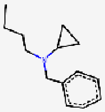 CCCCN(Cc1ccccc1)C1CC1